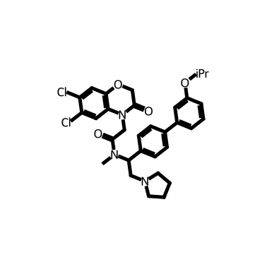 CC(C)Oc1cccc(-c2ccc(C(CN3CCCC3)N(C)C(=O)CN3C(=O)COc4cc(Cl)c(Cl)cc43)cc2)c1